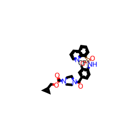 O=C(OCC1CC1)N1CCN(C(=O)c2ccc(NS(=O)(=O)c3cccc4cccnc34)c(C(F)(F)F)c2)CC1